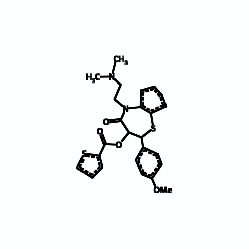 COc1ccc(C2Sc3ccccc3N(CCN(C)C)C(=O)C2OC(=O)c2cccs2)cc1